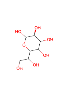 OCC(O)C1OC(O)[C@@H](O)C(O)C1O